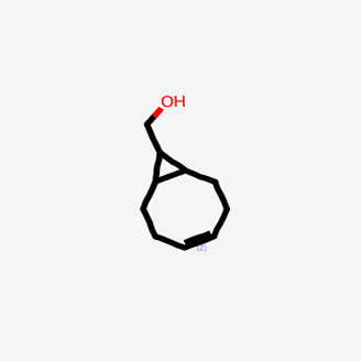 OCC1C2CC/C=C\CCC12